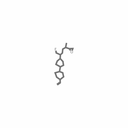 C=CC1CCC(C2CCC(C(CF)CCC(C)C3CO3)CC2)CC1